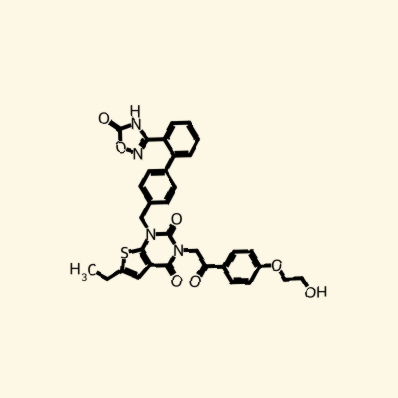 CCc1cc2c(=O)n(CC(=O)c3ccc(OCCO)cc3)c(=O)n(Cc3ccc(-c4ccccc4-c4noc(=O)[nH]4)cc3)c2s1